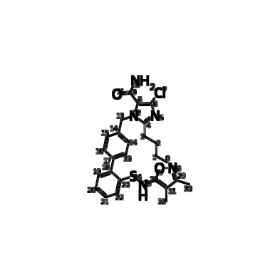 CCCCc1nc(Cl)c(C(N)=O)n1Cc1ccc(-c2ccccc2SNc2onc(C)c2C)cc1